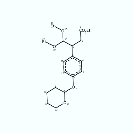 CCOC(=O)CC(c1ccc(OC2CCCCO2)cc1)C(OCC)OCC